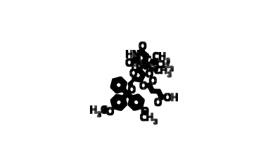 COc1ccc(C(OC[C@H]2O[C@@H](n3ccc(=O)[nH]c3=O)[C@@H](O[Si](C)(C)C(C)(C)C)[C@H]2OC(=O)CCC(=O)O)(c2ccccc2)c2ccc(OC)cc2)cc1